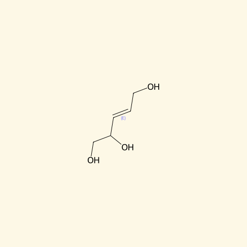 OC/C=C/C(O)CO